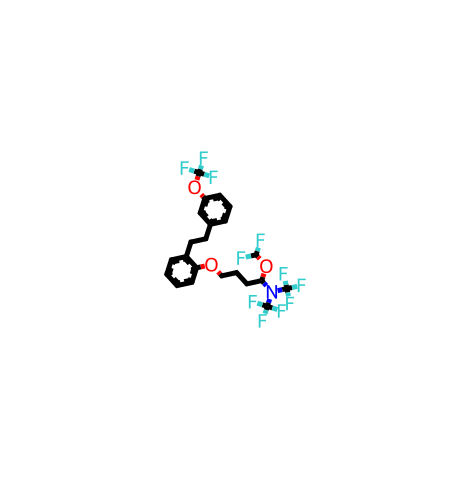 FC(F)OC(CCCOc1ccccc1CCc1cccc(OC(F)(F)F)c1)N(C(F)(F)F)C(F)(F)F